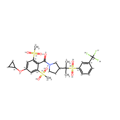 CC(C)(C1CCN(C(=O)c2c(S(C)(=O)=O)cc(OC3CC3)cc2S(C)(=O)=O)C1)S(=O)(=O)c1cccc(C(F)(F)F)c1